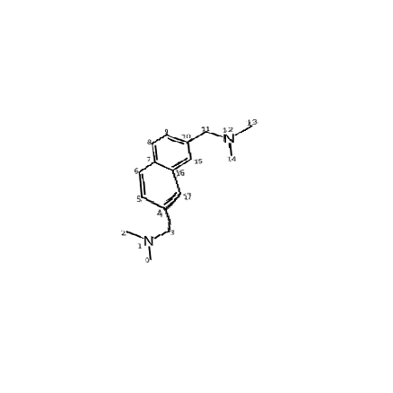 CN(C)Cc1ccc2ccc(CN(C)C)cc2c1